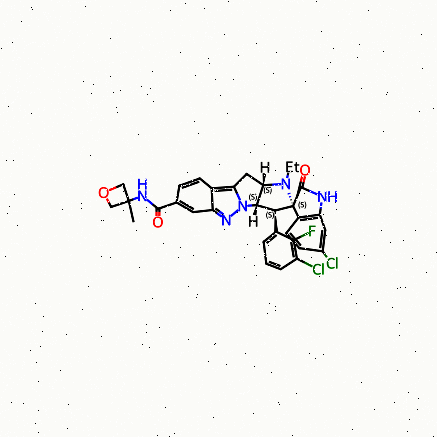 CCN1[C@H]2Cc3c4ccc(C(=O)NC5(C)COC5)cc4nn3[C@H]2[C@H](c2cccc(Cl)c2F)[C@]12C(=O)Nc1cc(Cl)ccc12